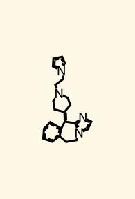 c1ccc2c(c1)CCn1ccnc1C2=C1CCN(CCn2cccc2)CC1